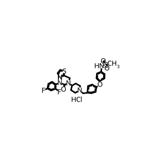 CS(=O)(=O)Nc1ccc(Oc2ccc(CN3CCC(N(Cc4nccs4)C(=O)Nc4ccc(F)cc4F)CC3)cc2)cc1.Cl